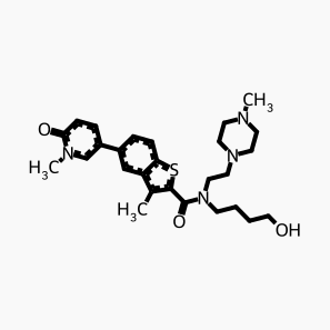 Cc1c(C(=O)N(CCCCO)CCN2CCN(C)CC2)sc2ccc(-c3ccc(=O)n(C)c3)cc12